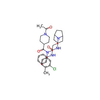 CC(=O)N1CCC(C(=O)N(CCCN2C3CCC2CC(NC(=O)Nc2ccccc2)C3)c2ccc(C)c(Cl)c2)CC1